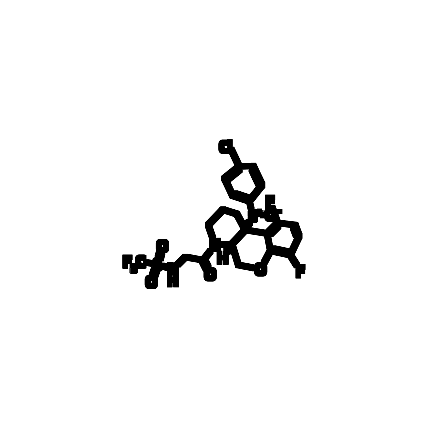 O=C(CNS(=O)(=O)C(F)(F)F)N1CCC[C@]2([S+]([O-])c3ccc(Cl)cc3)c3c(F)ccc(F)c3OC[C@H]12